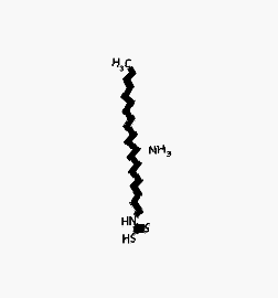 CCCCCCCCCCCCCCCCCCCCNC(=S)S.N